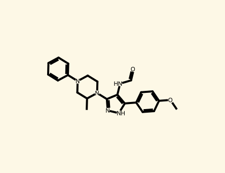 COc1ccc(-c2[nH]nc(N3CCN(c4ccccc4)CC3C)c2NC=O)cc1